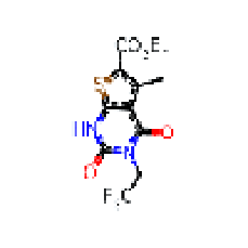 CCOC(=O)c1sc2[nH]c(=O)n(CC(F)(F)F)c(=O)c2c1C